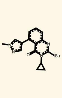 CCC(C)c1nc2cccc(-c3cnn(C)c3)c2c(=O)n1C1CC1